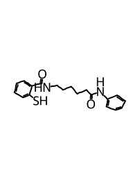 O=C(CCCCCNC(=O)c1ccccc1S)Nc1ccccc1